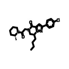 CCCCC1CN(CC(=O)N2CCCC[C@H]2C)C(=O)c2cc(-c3ccc(Cl)cc3)nn21